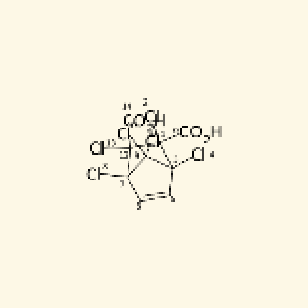 O=C(O)C1(Cl)C2(Cl)C=CC(Cl)(C2(Cl)Cl)C1(Cl)C(=O)O